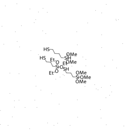 CCO[Si](CCCS)(OCC)OCC.CO[SiH](CCCCS)OC.CO[Si](CCCS)(OC)OC